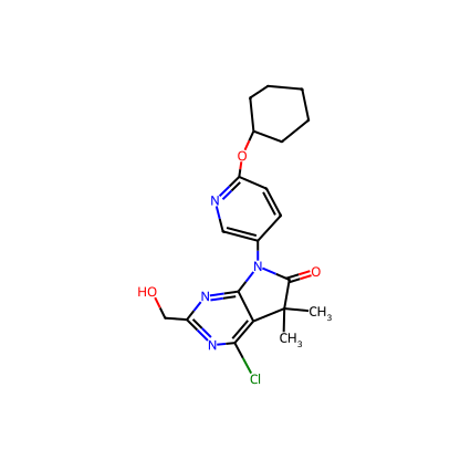 CC1(C)C(=O)N(c2ccc(OC3CCCCC3)nc2)c2nc(CO)nc(Cl)c21